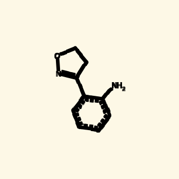 Nc1ccccc1C1=NOCC1